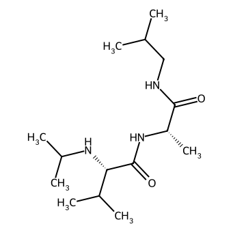 CC(C)CNC(=O)[C@H](C)NC(=O)[C@@H](NC(C)C)C(C)C